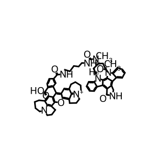 CN(C(=O)NCCCCCNC(=O)c1ccc(C(=O)O)c(C2=c3cc4c5c(c3Oc3c2cc2c6c3CCCN6CCCC2)CCC[N+]=5CCCC4)c1)[C@@H]1C[C@H]2OC(C)(C1)n1c3ccccc3c3c4c(c5c6ccccc6n2c5c31)C(=O)NC4